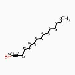 CCCCCCCCCCCCCCC#CBr